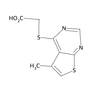 Cc1csc2ncnc(SCC(=O)O)c12